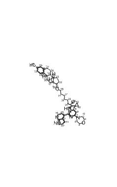 C[C@@H]1COCCN1c1cc(C2(S(=N)(=O)CCCCCCO[C@H]3CC[C@H]4[C@@H]5CCc6cc(O)ccc6[C@H]5CC[C@]34C)CC2)nc(-c2ccnc3[nH]ccc23)n1